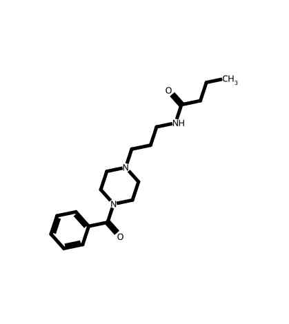 CCCC(=O)NCCCN1CCN(C(=O)c2ccccc2)CC1